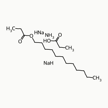 CCC(=O)O.CCCCCCCCCCCCOC(=O)CC.N.[NaH].[NaH]